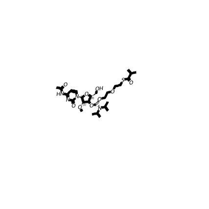 CO[C@H]1C(OP(OCCOCCSC(=O)C(C)C)N(C(C)C)C(C)C)[C@@H](CO)O[C@H]1n1ccc(NC(C)=O)nc1=O